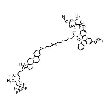 CCCC(OCCN(C)CCOC1CCC2C3CCc4cc(OCCCSSCCCCCCC(COP(OCCC#N)N(C(C)C)C(C)C)COC(c5ccccc5)(c5ccc(OC)cc5)c5ccc(OC)cc5)ccc4C3CCC12C)(C(F)(F)F)C(F)(F)F